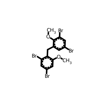 COc1cc(Br)cc(Br)c1Cc1cc(Br)cc(Br)c1OC